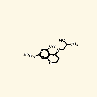 CCCCCc1cc(O)c2c(c1)OCCC2=NCC(C)O